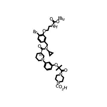 CC(C)(C)OC(=O)NCCOc1cc(CN(C(=O)[C@@H]2CCCN(c3cccc(OC(C)(C)C(=O)N4CCN(C(=O)O)CC4)c3)C2)C2CC2)ccc1Br